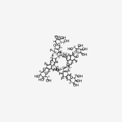 OCC1OC(Oc2c(F)c(F)c(-c3c4nc(c(-c5c(F)c(F)c(OC6=CC(O)C(O)C(CO)O6)c(F)c5F)c5ccc([nH]5)c(-c5c(F)c(F)c(SC6=CC(O)C(O)C(CO)O6)c(F)c5F)c5nc(c(-c6c(F)c(F)c(OC7OC(CO)C(O)C(O)C7O)c(F)c6F)c6ccc3[nH]6)C=C5)C=C4)c(F)c2F)=CC(O)C1O